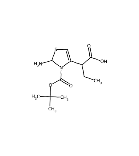 CCC(C(=O)O)C1=CSC(N)N1C(=O)OC(C)(C)C